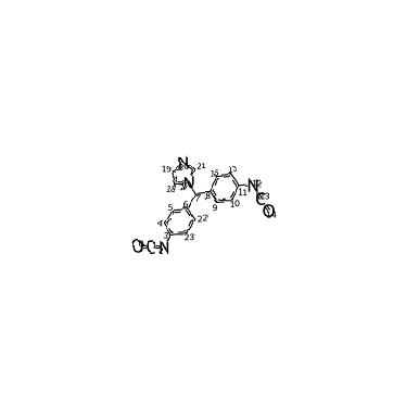 O=C=Nc1ccc(C(c2ccc(N=C=O)cc2)n2ccnc2)cc1